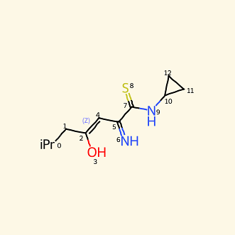 CC(C)C/C(O)=C/C(=N)C(=S)NC1CC1